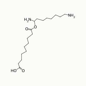 NCCCCCCCC(N)OC(=O)CCCCCCCCC(=O)O